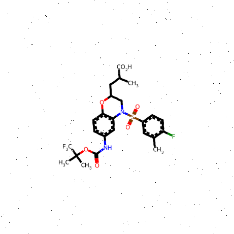 Cc1cc(S(=O)(=O)N2CC(CC(C)C(=O)O)Oc3ccc(NC(=O)OC(C)(C)C(F)(F)F)cc32)ccc1F